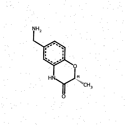 C[C@H]1Oc2ccc(CN)cc2NC1=O